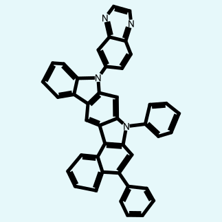 c1ccc(-c2cc3c(c4ccccc24)c2cc4c5ccccc5n(-c5ccc6nccnc6c5)c4cc2n3-c2ccccc2)cc1